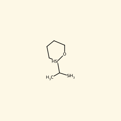 CC([SiH3])[SiH]1CCCCO1